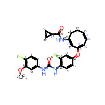 O=C(Nc1ccc(F)c(OC(F)(F)F)c1)Nc1ccc(OC2=C/C=C\CC/C(NC(=O)C3CC3)=C\2)cc1F